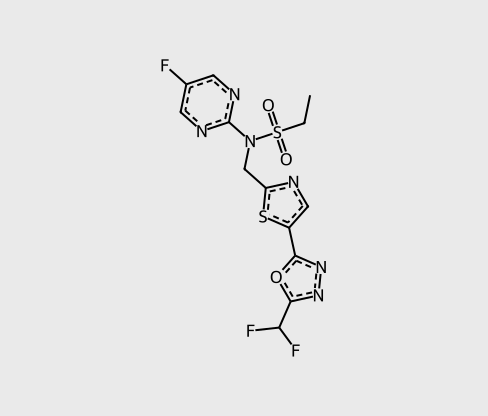 CCS(=O)(=O)N(Cc1ncc(-c2nnc(C(F)F)o2)s1)c1ncc(F)cn1